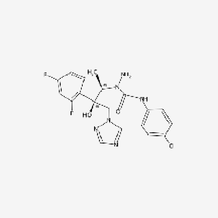 C[C@@H](N(N)C(=O)Nc1ccc(Cl)cc1)[C@](O)(Cn1cncn1)c1ccc(F)cc1F